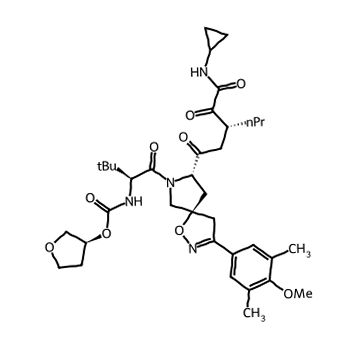 CCC[C@H](CC(=O)[C@@H]1C[C@]2(CC(c3cc(C)c(OC)c(C)c3)=NO2)CN1C(=O)[C@@H](NC(=O)O[C@H]1CCOC1)C(C)(C)C)C(=O)C(=O)NC1CC1